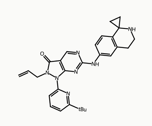 C=CCn1c(=O)c2cnc(Nc3ccc4c(c3)CCNC43CC3)nc2n1-c1cccc(C(C)(C)C)n1